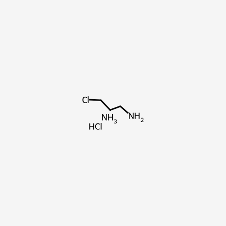 Cl.N.NCCCCl